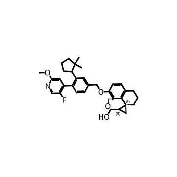 COc1cc(-c2ccc(COc3ccc4c(c3F)[C@]3(CCC4)C[C@H]3C(=O)O)cc2C2CCCC2(C)C)c(F)cn1